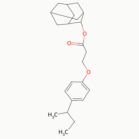 CCC(C)c1ccc(OCCC(=O)OC2C3CC4CC(C3)CC2C4)cc1